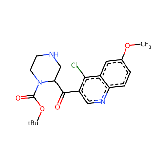 CC(C)(C)OC(=O)N1CCNCC1C(=O)c1cnc2ccc(OC(F)(F)F)cc2c1Cl